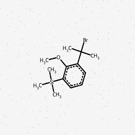 COc1c(C(C)(C)Br)cccc1[Si](C)(C)C